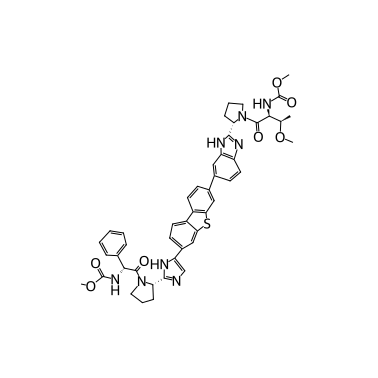 COC(=O)N[C@H](C(=O)N1CCC[C@H]1c1nc2ccc(-c3ccc4c(c3)sc3cc(-c5cnc([C@@H]6CCCN6C(=O)[C@H](NC(=O)OC)c6ccccc6)[nH]5)ccc34)cc2[nH]1)[C@@H](C)OC